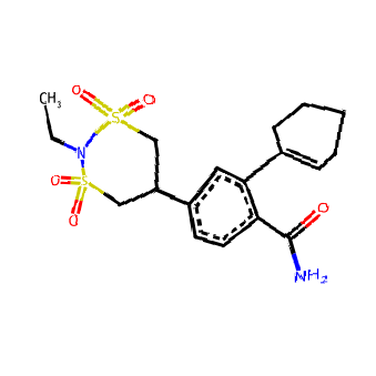 CCN1S(=O)(=O)CC(c2ccc(C(N)=O)c(C3=CCCCC3)c2)CS1(=O)=O